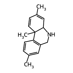 CC1=CC2NCc3cc(C)ccc3C2(C)C=C1